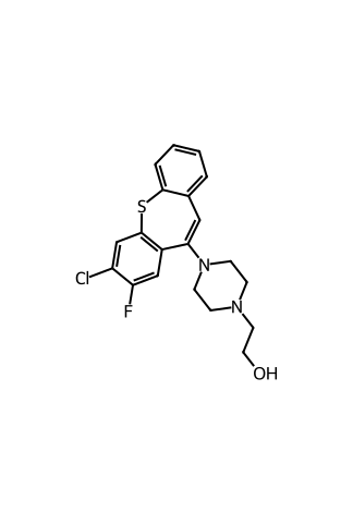 OCCN1CCN(C2=Cc3ccccc3Sc3cc(Cl)c(F)cc32)CC1